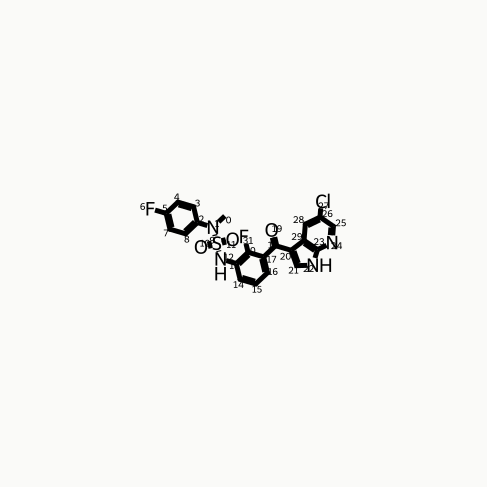 CN(c1ccc(F)cc1)S(=O)(=O)Nc1cccc(C(=O)c2c[nH]c3ncc(Cl)cc23)c1F